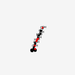 O=C(O)COCC(=O)NCC(=O)NCC(=O)NCC(=O)NCCNC(=O)CONC(=O)OCC1c2ccccc2-c2ccccc21